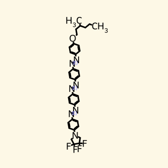 CCCC(C)CCOc1ccc(/N=N/c2ccc(/N=N/c3ccc(/N=N/c4ccc(N5CC(F)(F)C(F)(F)C5)cc4)cc3)cc2)cc1